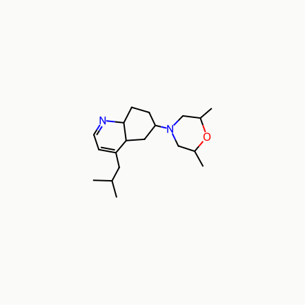 CC(C)CC1=CC=NC2CCC(N3CC(C)OC(C)C3)CC12